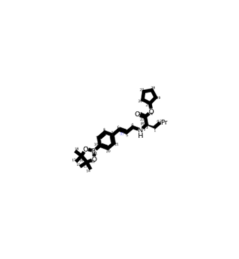 CC(C)C[C@@H](NC/C=C/c1ccc(B2OC(C)(C)C(C)(C)O2)cc1)C(=O)OC1CCCC1